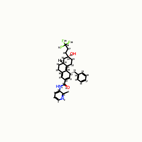 Cc1ncccc1NC(=O)C1=C[C@@H](Cc2ccccc2)C2=C3CC[C@](O)(CCC(F)(F)F)C[C@H]3CCC2=C1